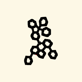 c1ccc(-c2ccc(N(c3ccc4c(c3)C(c3ccccc3)(c3ccccc3)c3ccccc3-4)c3cccc(-c4ccccc4)c3-c3ccccc3)cc2)cc1